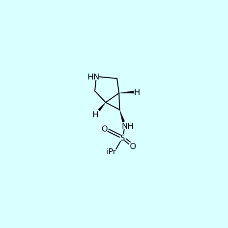 CC(C)S(=O)(=O)N[C@H]1[C@@H]2CNC[C@@H]21